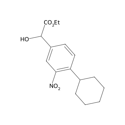 CCOC(=O)C(O)c1ccc(C2CCCCC2)c([N+](=O)[O-])c1